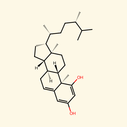 CC(C)[C@@H](C)CC[C@@H](C)[C@H]1CC[C@H]2[C@@H]3CC=C4C=C(O)C=C(O)[C@]4(C)[C@H]3CC[C@]12C